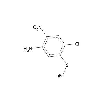 CCCSc1cc(N)c([N+](=O)[O-])cc1Cl